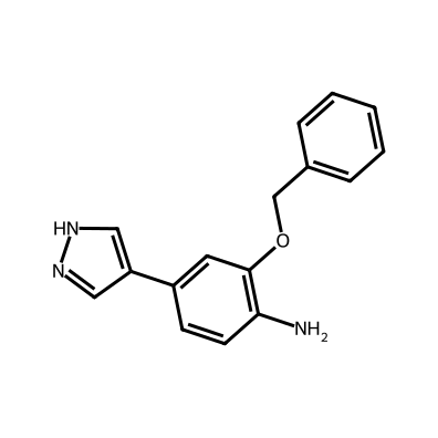 Nc1ccc(-c2cn[nH]c2)cc1OCc1ccccc1